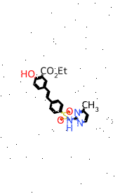 CCOC(=O)c1cc(C=Cc2ccc(S(=O)(=O)Nc3nccc(C)n3)cc2)ccc1O